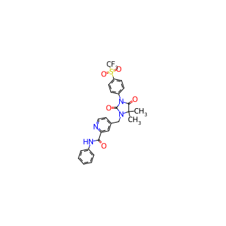 CC1(C)C(=O)N(c2ccc(S(=O)(=O)C(F)(F)F)cc2)C(=O)N1Cc1ccnc(C(=O)Nc2ccccc2)c1